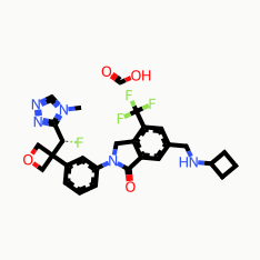 Cn1cnnc1[C@H](F)C1(c2cccc(N3Cc4c(cc(CNC5CCC5)cc4C(F)(F)F)C3=O)c2)COC1.O=CO